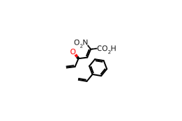 C=CC(=O)C=C(C(=O)O)[N+](=O)[O-].C=Cc1ccccc1